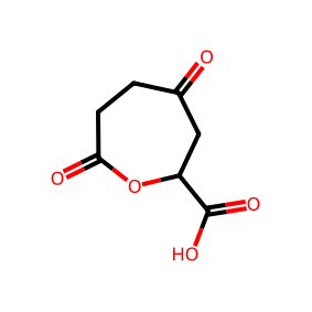 O=C1CCC(=O)OC(C(=O)O)C1